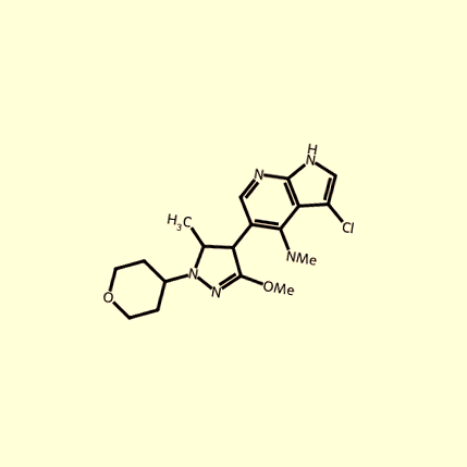 CNc1c(C2C(OC)=NN(C3CCOCC3)C2C)cnc2[nH]cc(Cl)c12